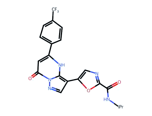 CC(C)NC(=O)c1ncc(-c2cnn3c(=O)cc(-c4ccc(C(F)(F)F)cc4)[nH]c23)o1